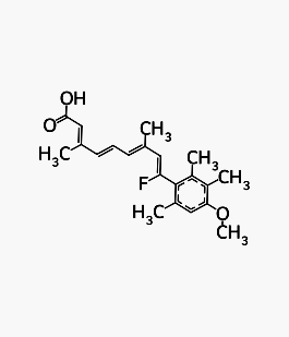 COc1cc(C)c(C(F)=CC(C)=CC=CC(C)=CC(=O)O)c(C)c1C